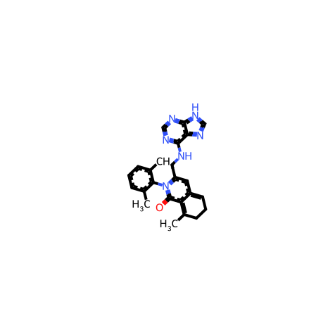 CC1=c2c(cc(CNc3ncnc4[nH]cnc34)n(-c3c(C)cccc3C)c2=O)=CCC1